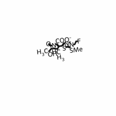 CSc1c2sc(C3=C(C(=O)[O-])N4C(=O)[C@H]([C@@H](C)O)[C@H]4[C@H]3C)c[n+]2cn1CCF